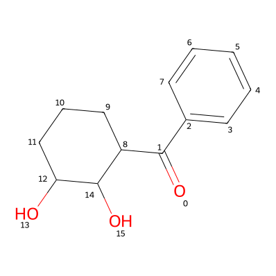 O=C(c1ccccc1)C1CCCC(O)C1O